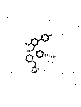 COc1ccc(-c2ccc(F)cc2)cc1CN[C@H]1CCCN(Cc2nc[nH]n2)[C@H]1c1ccccc1.Cl.Cl.Cl